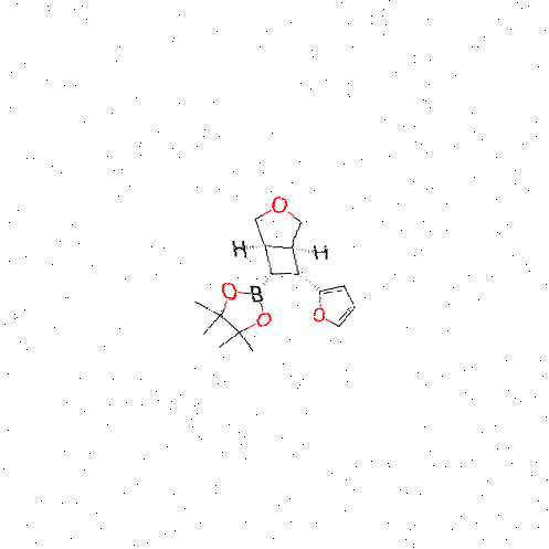 CC1(C)OB([C@@H]2[C@H]3COC[C@H]3[C@@H]2c2ccco2)OC1(C)C